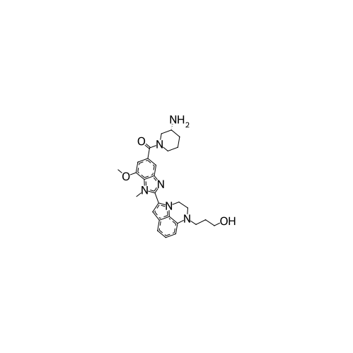 COc1cc(C(=O)N2CCC[C@@H](N)C2)cc2nc(-c3cc4cccc5c4n3CCN5CCCO)n(C)c12